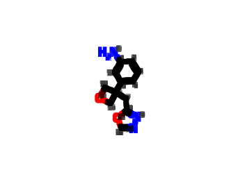 Nc1cccc(C2(Cc3nnco3)COC2)c1